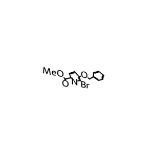 COC(=O)c1ccc(OCc2ccccc2)c(Br)n1